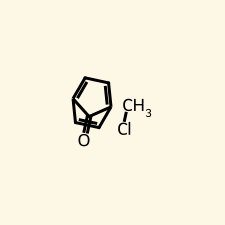 CCl.O=C1C2=CC=C1C=C2